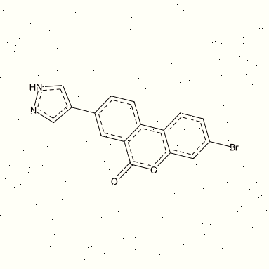 O=c1oc2cc(Br)ccc2c2ccc(-c3cn[nH]c3)cc12